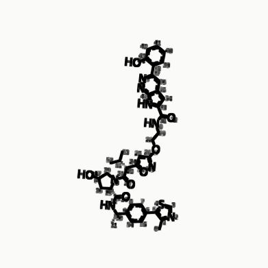 Cc1ncsc1-c1ccc([C@H](C)NC(=O)[C@@H]2C[C@@H](O)CN2C(=O)[C@@H](c2cc(OCCNC(=O)c3cc4cc(-c5ccccc5O)nnc4[nH]3)no2)C(C)C)cc1